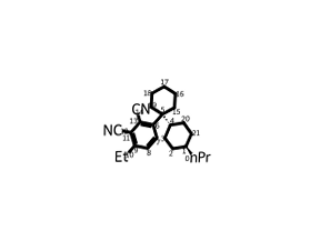 CCC[C@H]1CC[C@H](C2(c3ccc(CC)c(C#N)c3C#N)CCCCC2)CC1